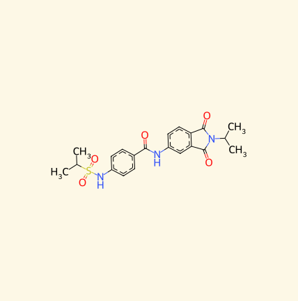 CC(C)N1C(=O)c2ccc(NC(=O)c3ccc(NS(=O)(=O)C(C)C)cc3)cc2C1=O